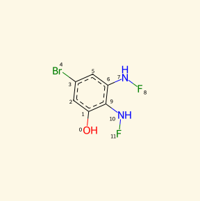 Oc1cc(Br)cc(NF)c1NF